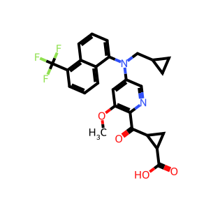 COc1cc(N(CC2CC2)c2cccc3c(C(F)(F)F)cccc23)cnc1C(=O)C1CC1C(=O)O